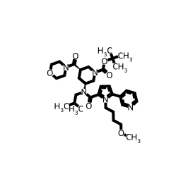 COCCCCn1c(C(=O)N(CC(C)C)[C@H]2C[C@@H](C(=O)N3CCOCC3)CN(C(=O)OC(C)(C)C)C2)ccc1-c1cccnc1